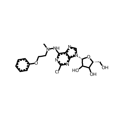 CN(CCOc1ccccc1)Nc1nc(Cl)nc2c1ncn2[C@@H]1O[C@H](CO)C(O)C1O